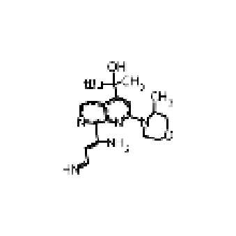 CC1COCCN1c1cc(C(C)(O)C(C)(C)C)c2ccnc(/C(N)=C/C=N)c2n1